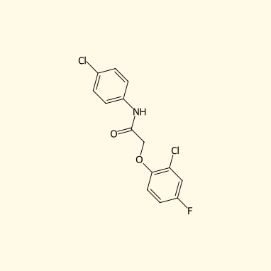 O=C(COc1ccc(F)cc1Cl)Nc1ccc(Cl)cc1